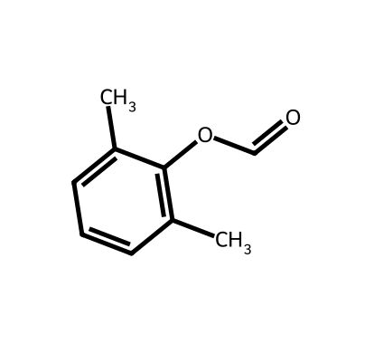 Cc1cccc(C)c1OC=O